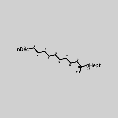 [CH2]CCCCCCCCCCCCCCCCCCC(C)CCCCCC[CH2]